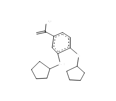 COC(=O)c1ccc(NC2CCCC2)c(NC2CCCC2)c1